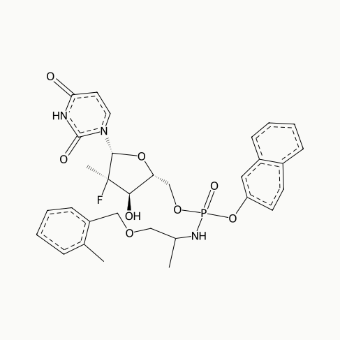 Cc1ccccc1COCC(C)NP(=O)(OC[C@H]1O[C@@H](n2ccc(=O)[nH]c2=O)[C@](C)(F)[C@@H]1O)Oc1ccc2ccccc2c1